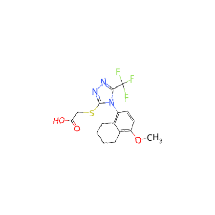 COc1ccc(-n2c(SCC(=O)O)nnc2C(F)(F)F)c2c1CCCC2